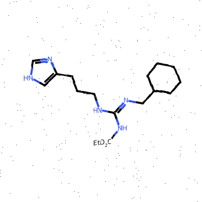 CCOC(=O)N/C(=N\CC1CCCCC1)NCCCc1c[nH]cn1